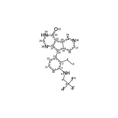 CCc1c(NCC(F)(F)F)cccc1-c1c2ccnsc-2c2c(=O)[nH]cnc12